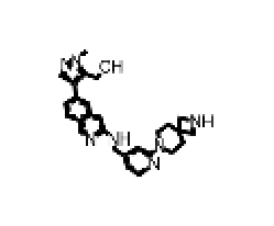 Cn1ncc(-c2ccc3cnc(NCc4ccnc(N5CCC6(CC5)CNC6)c4)cc3c2)c1CO